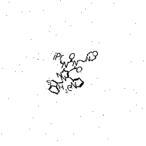 CC(C)Cn1c(=O)n(CCN2CCOCC2)c(=O)c2c(-c3cccn3C)n(Cc3csc4ccccc34)nc21